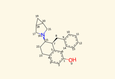 Oc1ccc2c(c1)[C@H](Cc1ccccc1)[C@H](N1CC3CC3C1)CC2